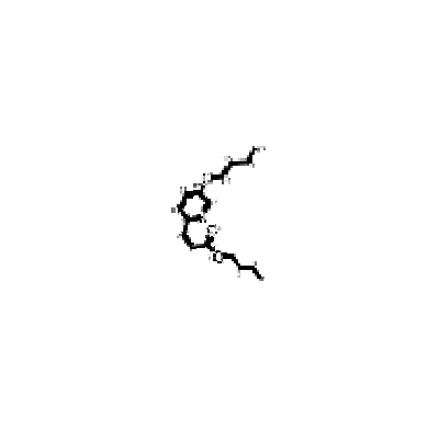 CCCCOC(=O)/C=C\c1ccc(OCCCC)cn1